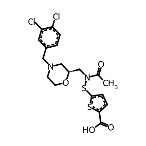 CC(=O)N(C[C@@H]1CN(Cc2ccc(Cl)c(Cl)c2)CCO1)Sc1ccc(C(=O)O)s1